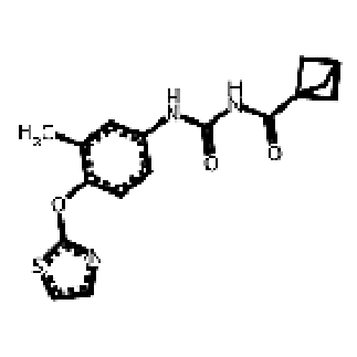 Cc1cc(NC(=O)NC(=O)C23CC(C2)C3)ccc1Oc1nccs1